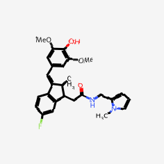 COc1cc(C=C2c3ccc(F)cc3C(CC(=O)NCc3cccn3C)C2C)cc(OC)c1O